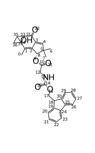 CC1=C2C(=CC(C)(C)[C@@H]2OC(=O)CNC(=O)OCC2c3ccccc3-c3ccccc32)C(=O)[C@@]2(O)C3CC132